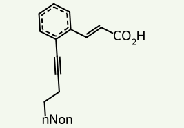 CCCCCCCCCCCC#Cc1ccccc1C=CC(=O)O